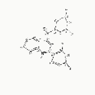 Cc1ccc(-c2cc(C(=O)N3CC(C)CC(C)C3)c3ccccc3n2)c(C)c1